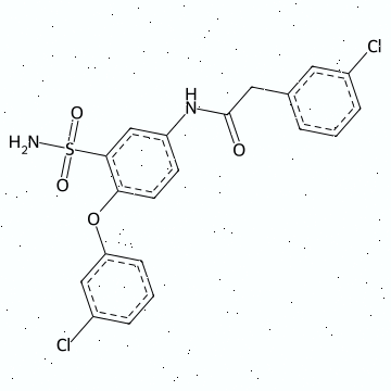 NS(=O)(=O)c1cc(NC(=O)Cc2cccc(Cl)c2)ccc1Oc1cccc(Cl)c1